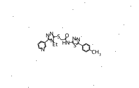 CCn1c(SCC(=O)Nc2nnc(-c3ccc(C)cc3)s2)nnc1-c1cccnc1